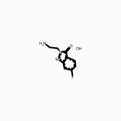 Cl.NCCn1[se]c2cc(F)ccc2c1=O